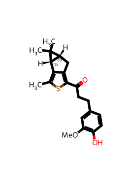 COc1cc(CCC(=O)c2sc(C)c3c2C[C@@H]2[C@H]3C2(C)C)ccc1O